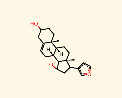 C[C@]12CCC(O)CC1=CC[C@@H]1[C@H]2CC[C@]2(C)C(c3ccoc3)CC3O[C@]312